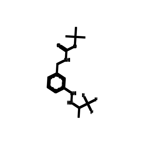 CC(NNc1cccc(CNC(=O)OC(C)(C)C)c1)C(F)(F)F